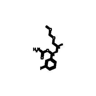 COCOC[C@@H](C)C[C@H](OC(N)=O)c1cccc(I)c1